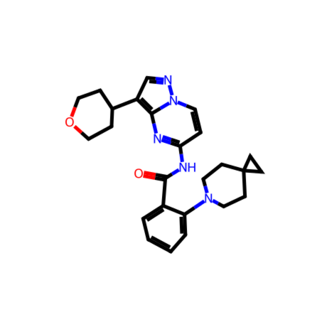 O=C(Nc1ccn2ncc(C3CCOCC3)c2n1)c1ccccc1N1CCC2(CC1)CC2